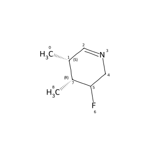 C[C@@H]1C=NCC(F)[C@@H]1C